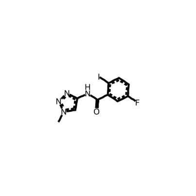 Cn1cc(NC(=O)c2cc(F)ccc2I)nn1